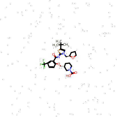 CC(C)(C)c1cn(C[C@H]2CCCO2)/c(=N/C(=O)c2cc(C(F)(F)F)ccc2OC[C@@H]2CCCN(C(=O)O)C2)s1